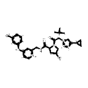 CC(C)(C)[C@@H](C(=O)N1CC(O)CC1C(=O)NCc1cc(Oc2cccc(Cl)c2)ccn1)n1cc(C2CC2)nn1